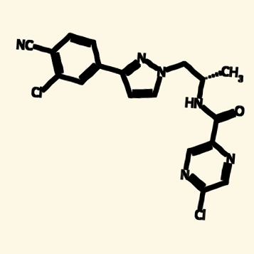 C[C@@H](Cn1ccc(-c2ccc(C#N)c(Cl)c2)n1)NC(=O)c1cnc(Cl)cn1